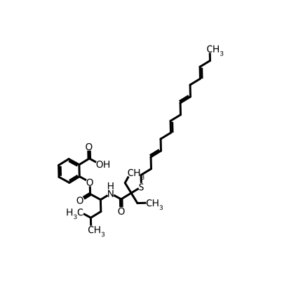 CCC=CCC=CCC=CCC=CCCSC(CC)(CC)C(=O)NC(CC(C)C)C(=O)Oc1ccccc1C(=O)O